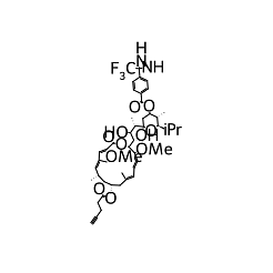 C#CCCC(=O)O[C@@H]1[C@H](C)/C=C(C)/C=C(\OC)C(=O)O[C@H]([C@@H](C)[C@@H](O)[C@H](C)[C@@]2(O)C[C@@H](OC(=O)c3ccc(C4(C(F)(F)F)NN4)cc3)[C@H](C)[C@@H](C(C)C)O2)[C@@H](OC)/C=C/C=C(\C)C[C@@H]1C